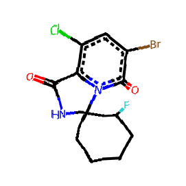 O=C1NC2(CCCCC2F)n2c1c(Cl)cc(Br)c2=O